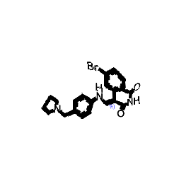 O=C1NC(=O)c2ccc(Br)cc2/C1=C\Nc1ccc(CN2CCCC2)cc1